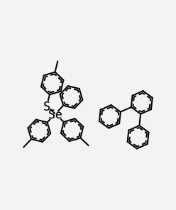 Cc1ccc(S[Se](c2ccccc2)(c2ccc(C)cc2)c2ccc(C)cc2)cc1.c1ccc(-c2ccccc2-c2ccccc2)cc1